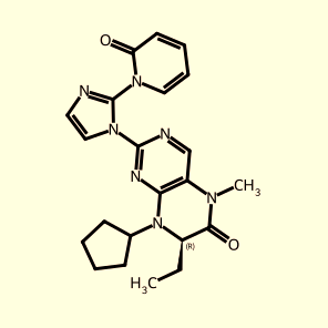 CC[C@@H]1C(=O)N(C)c2cnc(-n3ccnc3-n3ccccc3=O)nc2N1C1CCCC1